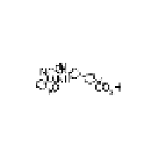 C[C@@H](OC(=O)Nc1c(C#N)cnn1-c1ccc(-c2ccc(C(C)(C)C(=O)O)cc2)cc1)c1ccccc1